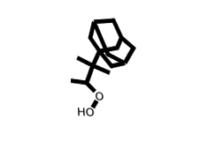 CC(OO)C(C)(C)C12CC3CC(CC(C3)C1)C2